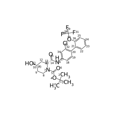 CC(C)(C)OC(=O)N1CC[C@@H](O)C[C@@H]1C(=O)Nc1ccc(-c2ccccc2OC(F)(F)F)c(Cl)c1